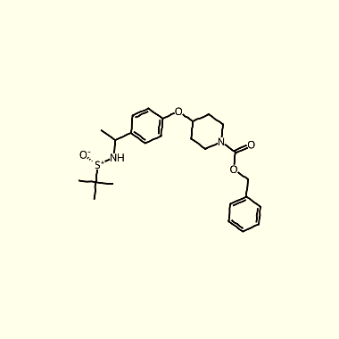 CC(N[S@@+]([O-])C(C)(C)C)c1ccc(OC2CCN(C(=O)OCc3ccccc3)CC2)cc1